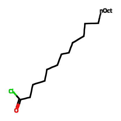 CCCCCCCCCCCCCCCCCCCC(=O)Cl